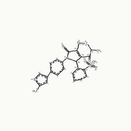 Cc1cc(-c2ccc(N3C(=O)C(O)=C(C(=O)C(C)C)C3c3ccccc3S(C)(=O)=O)cc2)cs1